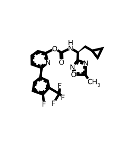 Cc1nc([C@H](CC2CC2)NC(=O)Oc2cccc(-c3ccc(F)c(C(F)(F)F)c3)n2)no1